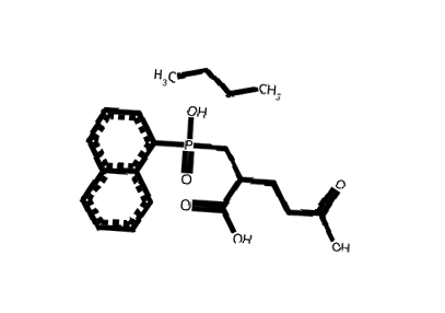 CCCC.O=C(O)CCC(CP(=O)(O)c1cccc2ccccc12)C(=O)O